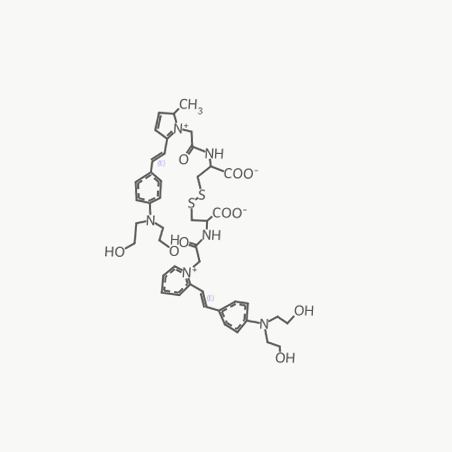 CC1C=CC(/C=C/c2ccc(N(CCO)CCO)cc2)=[N+]1CC(=O)NC(CSSCC(NC(=O)C[n+]1ccccc1/C=C/c1ccc(N(CCO)CCO)cc1)C(=O)[O-])C(=O)[O-]